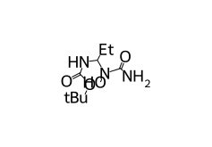 CCC(NC(=O)OC(C)(C)C)N(O)C(N)=O